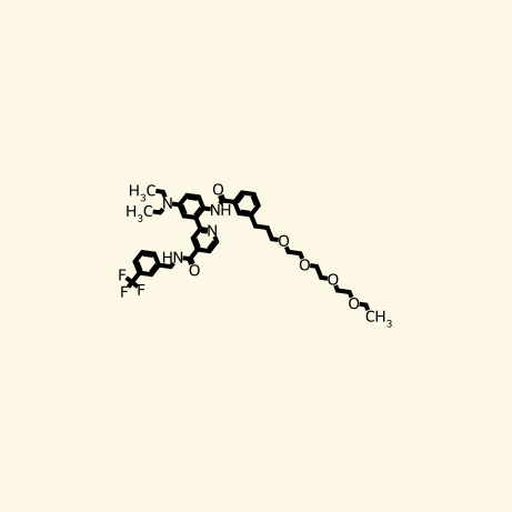 CCOCCOCCOCCOCCCc1cccc(C(=O)Nc2ccc(N(CC)CC)cc2-c2cc(C(=O)NCc3cccc(C(F)(F)F)c3)ccn2)c1